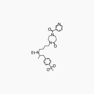 CCN(CCCCN1CCN(C(=O)c2cccnc2)CCC1=O)C(C)Cc1ccc(S(C)(=O)=O)cc1